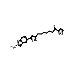 Cn1cc2cc(-c3cc(CCCCCCC(=O)c4ccon4)no3)ccc2n1